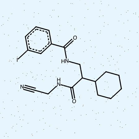 N#CCNC(=O)C(CNC(=O)c1cccc(I)c1)C1CCCCC1